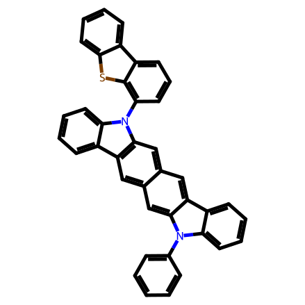 c1ccc(-n2c3ccccc3c3cc4cc5c(cc4cc32)c2ccccc2n5-c2cccc3c2sc2ccccc23)cc1